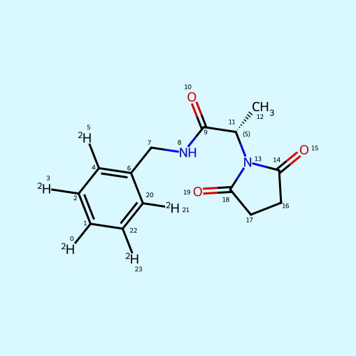 [2H]c1c([2H])c([2H])c(CNC(=O)[C@H](C)N2C(=O)CCC2=O)c([2H])c1[2H]